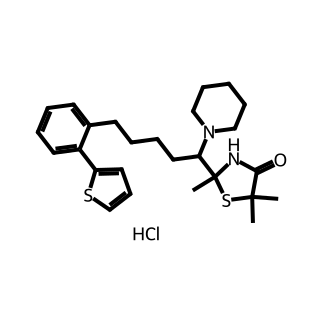 CC1(C)SC(C)(C(CCCCc2ccccc2-c2cccs2)N2CCCCC2)NC1=O.Cl